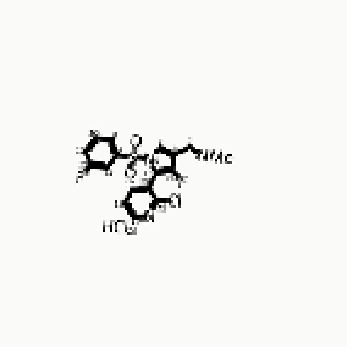 CNCc1cn(S(=O)(=O)c2cccc(F)c2)c(-c2cccnc2Cl)c1F.Cl